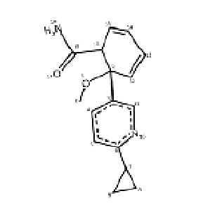 COC1(c2ccc(C3CC3)nc2)C=CC=CC1C(N)=O